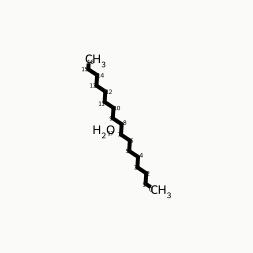 CCCCCCCCCCCCCCCCC.O